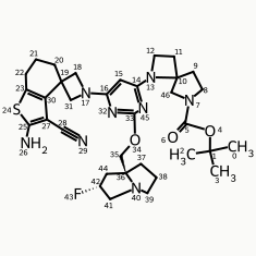 CC(C)(C)OC(=O)N1CCC2(CCN2c2cc(N3CC4(CCCc5sc(N)c(C#N)c54)C3)nc(OC[C@@]34CCCN3C[C@H](F)C4)n2)C1